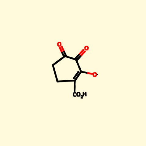 [O]C1=C(C(=O)O)CCC(=O)C1=O